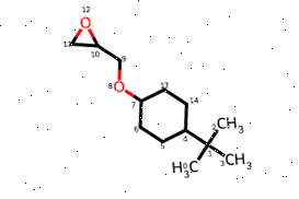 CC(C)(C)C1CCC(OCC2CO2)CC1